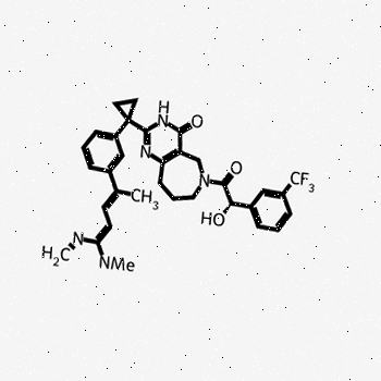 C=N/C(=C\C=C(/C)c1cccc(C2(c3nc4c(c(=O)[nH]3)CN(C(=O)[C@H](O)c3cccc(C(F)(F)F)c3)CCC4)CC2)c1)NC